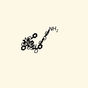 CC(C(=O)NC(C(=O)N1CCC[C@H]1c1nc(C(=O)c2cccc(OCCOCCOCCN)c2)cs1)C1CCCCC1)N(C)C(=O)OCc1ccccc1